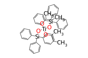 CCC(C)[O][Ti]([O]C(C)CC)([O][Si](c1ccccc1)(c1ccccc1)c1ccccc1)[O][Si](c1ccccc1)(c1ccccc1)c1ccccc1